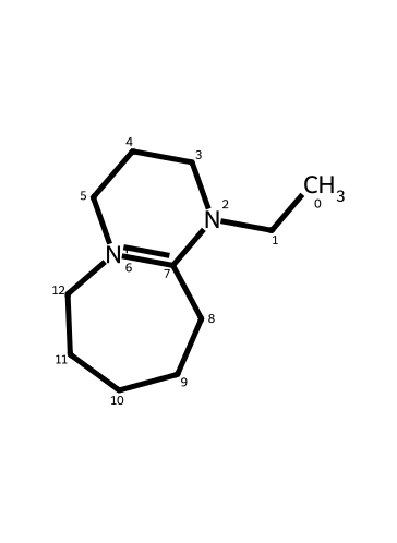 CCN1CCC[N+]2=C1CCCCC2